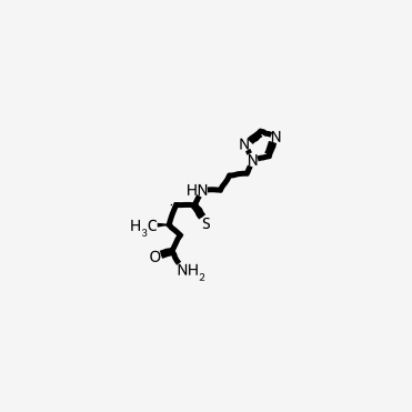 C[C@@H]([CH]C(=S)NCCCn1cncn1)CC(N)=O